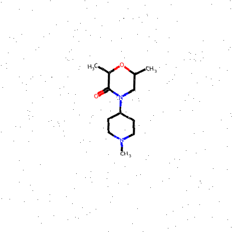 CC1CN(C2CCN(C)CC2)C(=O)C(C)O1